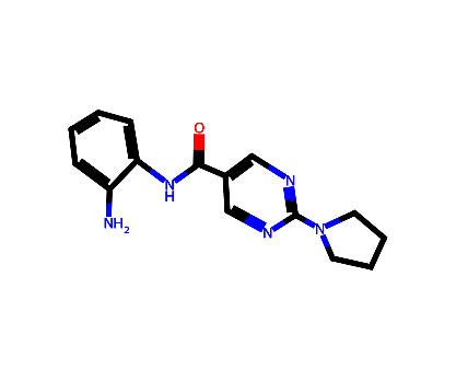 Nc1ccccc1NC(=O)c1cnc(N2CCCC2)nc1